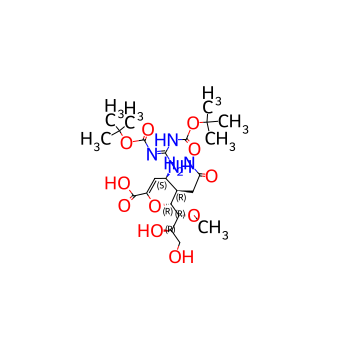 CO[C@@H]([C@@H]1OC(C(=O)O)=C[C@@H](NC(=NC(=O)OC(C)(C)C)NC(=O)OC(C)(C)C)[C@H]1CC(N)=O)[C@H](O)CO